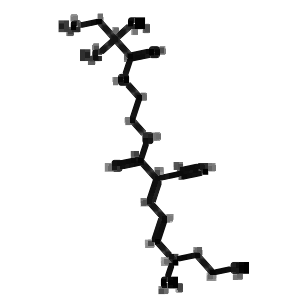 CCC(C)(C)C(=O)OCCOC(=O)/C(C#N)=C/C=C/N(C)CCO